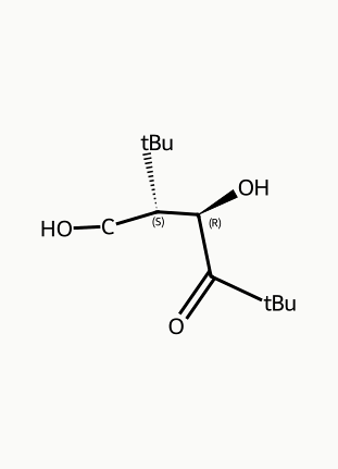 CC(C)(C)C(=O)[C@H](O)[C@H](CO)C(C)(C)C